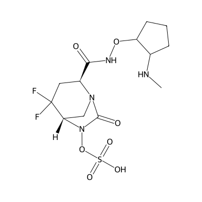 CNC1CCCC1ONC(=O)[C@@H]1CC(F)(F)[C@@H]2CN1C(=O)N2OS(=O)(=O)O